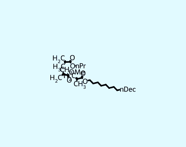 C=C(C)C(=O)OC.C=C(C)C(=O)OCCC.C=C(C)C(=O)OCCCCCCCCCCCCCCCCCC